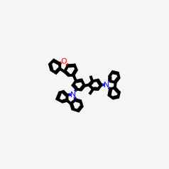 Cc1cc(-n2c3ccccc3c3ccccc32)cc(C)c1-c1cc(-c2ccc3oc4ccccc4c3c2)cc(-n2c3ccccc3c3ccccc32)c1